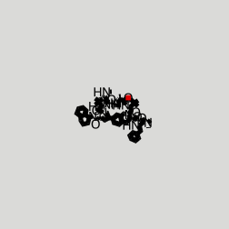 CN[C@@H](C)C(=O)NC(C(=O)N1Cc2cc(C3C[C@@H](C(=O)NC4CCCc5ccccc54)N(C(=O)[C@@H](NC(=O)[C@H](C)NC)C(C)(C)C)C3)ccc2C[C@H]1C(=O)NC(Cc1ccccc1)C(=O)N(C)C)C(C)(C)C